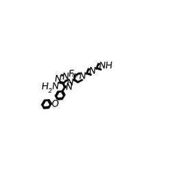 Nc1ncnc2c1c(-c1ccc(Oc3ccccc3)cc1)nn2C1CCN(C2CN(C3CNC3)C2)C[C@H]1F